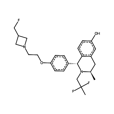 C[C@@H]1Cc2cc(O)ccc2[C@@H](c2ccc(OCCN3CC(CF)C3)cc2)N1CC(C)(F)F